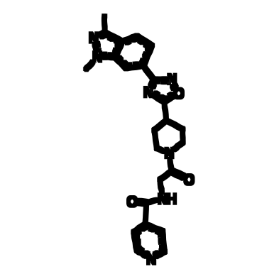 Cc1nn(C)c2cc(-c3noc(C4CCN(C(=O)CNC(=O)c5ccncc5)CC4)n3)ccc12